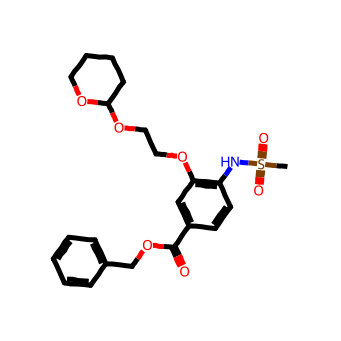 CS(=O)(=O)Nc1ccc(C(=O)OCc2ccccc2)cc1OCCOC1CCCCO1